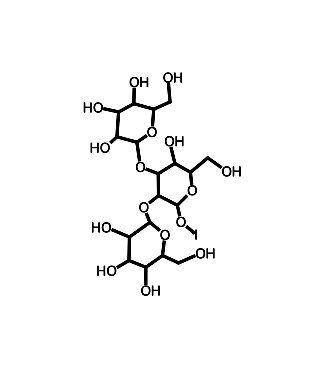 OCC1OC(OC2C(OI)OC(CO)C(O)C2OC2OC(CO)C(O)C(O)C2O)C(O)C(O)C1O